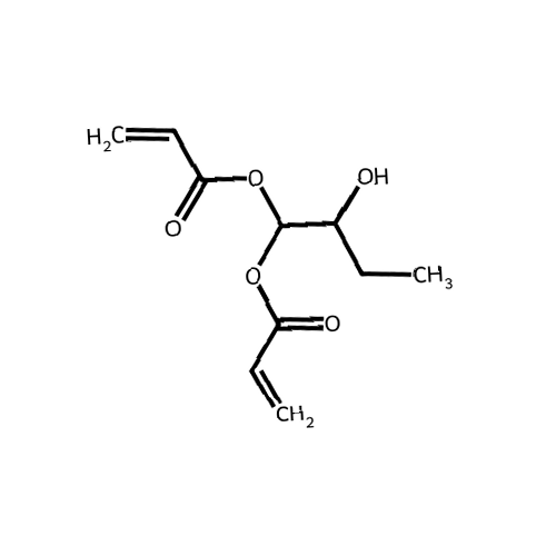 C=CC(=O)OC(OC(=O)C=C)C(O)CC